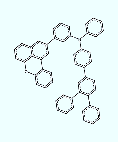 c1ccc(-c2ccc(-c3ccc(N(c4ccccc4)c4cccc(-c5cc6c7c(cccc7c5)Oc5ccccc5-6)c4)cc3)cc2-c2ccccc2)cc1